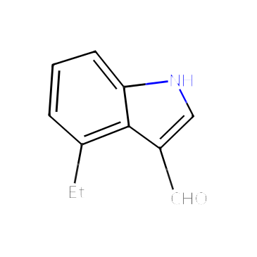 CCc1cccc2[nH]cc(C=O)c12